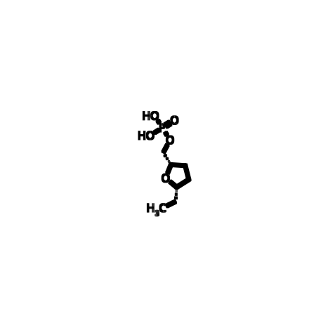 CC[C@H]1CC[C@@H](COP(=O)(O)O)O1